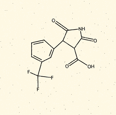 O=C(O)C1C(=O)NC(=O)C1c1cccc(C(F)(F)F)c1